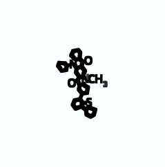 Cn1c2ccc(-c3cccc4c3sc3ccccc34)cc2c(=O)c2cc3c(cc21)c(=O)c1ccccc1n3-c1ccccc1